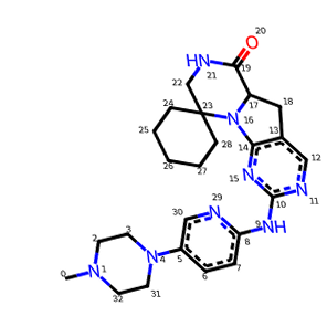 CN1CCN(c2ccc(Nc3ncc4c(n3)N3C(C4)C(=O)NCC34CCCCC4)nc2)CC1